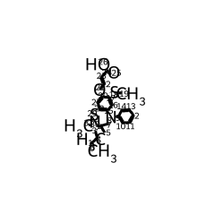 CCCC[C@@]1(CC)CN(c2ccccc2)c2cc(SC)c(O/C=C/C(=O)O)cc2SN1C